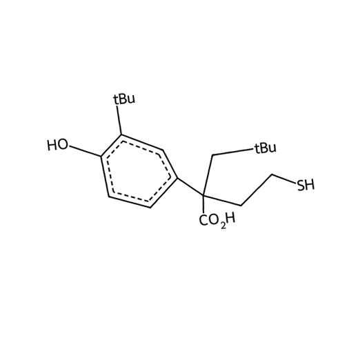 CC(C)(C)CC(CCS)(C(=O)O)c1ccc(O)c(C(C)(C)C)c1